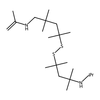 C=C(C)NCC(C)(C)CC(C)(C)SSC(C)(C)CC(C)(C)NC(C)C